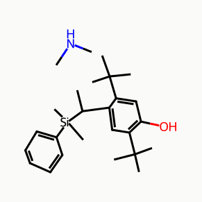 CC(c1cc(C(C)(C)C)c(O)cc1C(C)(C)C)[Si](C)(C)c1ccccc1.CNC